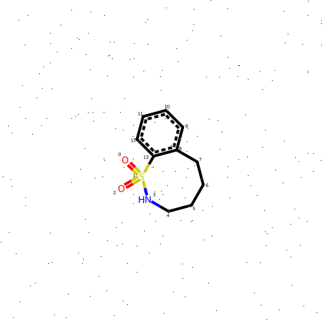 O=S1(=O)NCCCCc2ccccc21